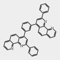 c1ccc(-c2cc(-c3cccc(-c4cc(-c5ccccc5)nc5c4ccc4cccnc45)c3)c3ccc4cccnc4c3n2)cc1